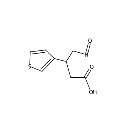 O=NCC(CC(=O)O)c1ccsc1